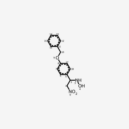 O=[N+]([O-])CC(NO)c1ccc(OCc2ccccc2)cc1